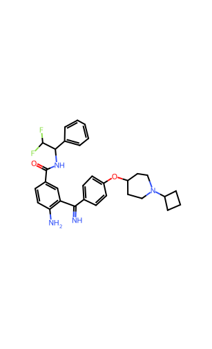 N=C(c1ccc(OC2CCN(C3CCC3)CC2)cc1)c1cc(C(=O)NC(c2ccccc2)C(F)F)ccc1N